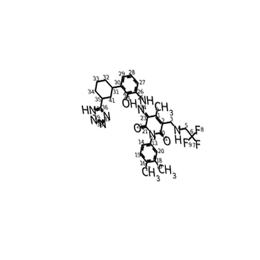 CC1=C(CNCC(F)(F)F)C(=O)N(c2ccc(C)c(C)c2)C(=O)/C1=N/Nc1cccc(C2CCCC(c3nnn[nH]3)C2)c1O